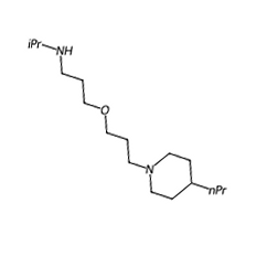 CCCC1CCN(CCCOCCCNC(C)C)CC1